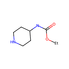 CCOC(=O)[N]C1CCNCC1